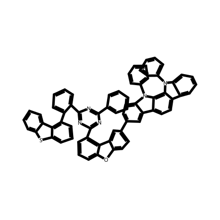 c1ccc(-c2nc(-c3ccccc3-c3cccc4sc5ccccc5c34)nc(-c3cccc4oc5ccc(-c6ccc7c(c6)c6ccc8c9ccccc9n(-c9ccccc9)c8c6n7-c6ccccc6)cc5c34)n2)cc1